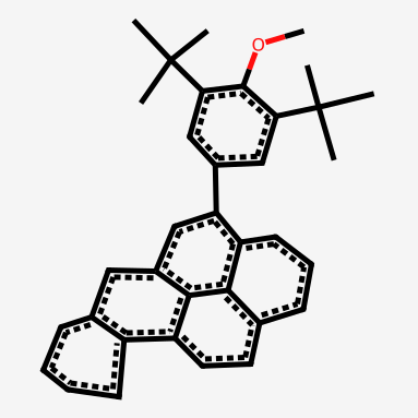 COc1c(C(C)(C)C)cc(-c2cc3cc4ccccc4c4ccc5cccc2c5c34)cc1C(C)(C)C